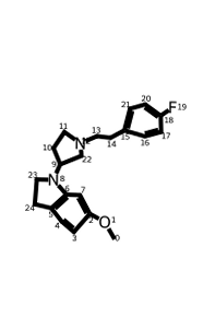 COc1ccc2c(c1)N(C1CCN(CCc3ccc(F)cc3)C1)CC2